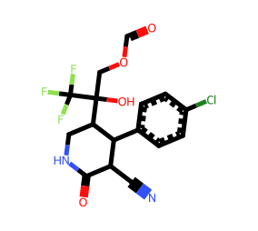 N#CC1C(=O)NCC(C(O)(COC=O)C(F)(F)F)C1c1ccc(Cl)cc1